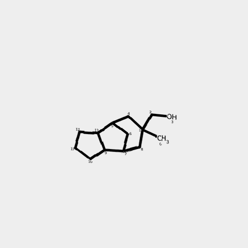 CC1(CO)CC2CC(C1)C1CCCC21